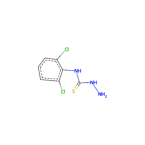 NNC(=S)Nc1c(Cl)cccc1Cl